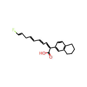 O=C(O)C(=CC=CC=CCC=CF)c1ccc2c(c1)CCCC2